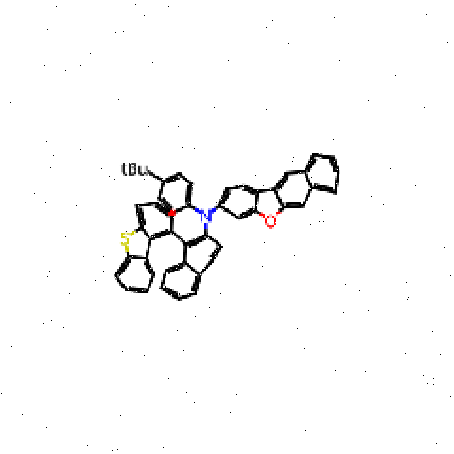 CC(C)(C)c1ccc(N(c2ccc3c(c2)oc2cc4ccccc4cc23)c2ccc3ccccc3c2-c2cccc3sc4ccccc4c23)cc1